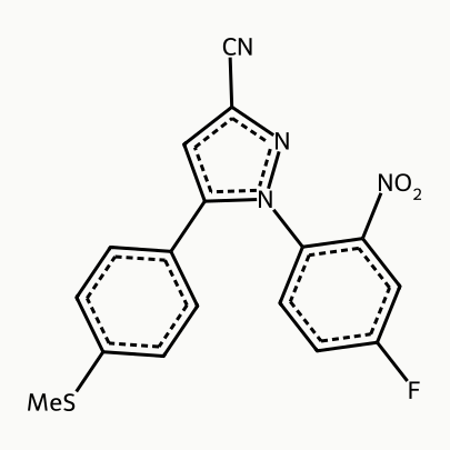 CSc1ccc(-c2cc(C#N)nn2-c2ccc(F)cc2[N+](=O)[O-])cc1